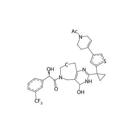 CC(=O)N1CC=C(c2csc(C3(C4=NC5=C(CN(C(=O)[C@H](O)c6cccc(C(F)(F)F)c6)CCC5)C(O)N4)CC3)c2)CC1